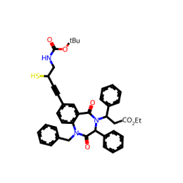 CCOC(=O)CC(c1ccccc1)N1C(=O)c2cc(C#CC(S)CNC(=O)OC(C)(C)C)ccc2N(Cc2ccccc2)C(=O)C1c1ccccc1